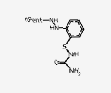 CCCCCNNc1ccccc1SNC(N)=O